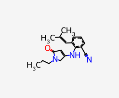 CCCN1CC(Nc2c(C#N)cccc2C=C(C)C)=CC1=O